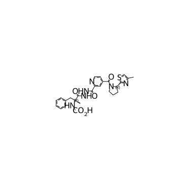 Cc1csc([C@H]2CCCN2C(=O)c2ccnc(C(=O)NNC(=O)[C@@](C)(Cc3ccccc3)NC(=O)O)c2)n1